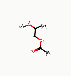 CC(C)OC(C)COC(=O)C(C)(C)C